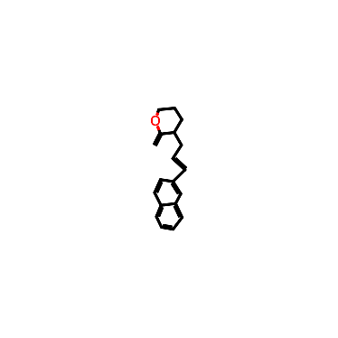 C=C1OCCCC1C/C=C/c1ccc2ccccc2c1